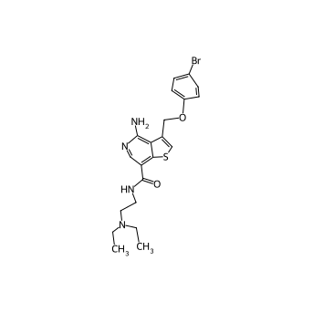 CCN(CC)CCNC(=O)c1cnc(N)c2c(COc3ccc(Br)cc3)csc12